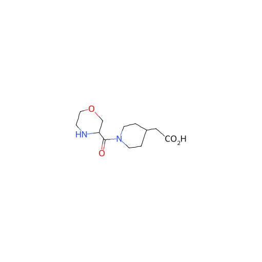 O=C(O)CC1CCN(C(=O)C2COCCN2)CC1